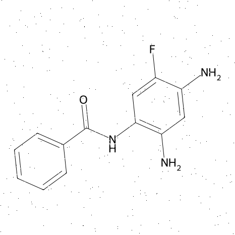 Nc1cc(N)c(NC(=O)c2ccccc2)cc1F